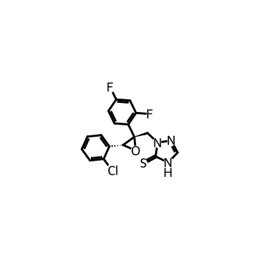 Fc1ccc([C@]2(Cn3nc[nH]c3=S)O[C@@H]2c2ccccc2Cl)c(F)c1